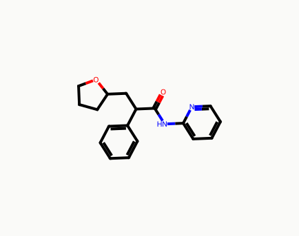 O=C(Nc1ccccn1)C(CC1CCCO1)c1ccccc1